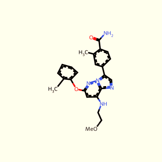 COCCNc1cc(Oc2ccccc2C)nn2c(-c3ccc(C(N)=O)c(C)c3)cnc12